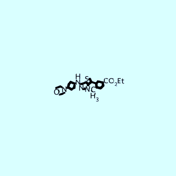 CCOC(=O)c1ccc(C)c(-c2csc3c(Nc4ccc(N5CCOCC5)cc4)ncnc23)c1